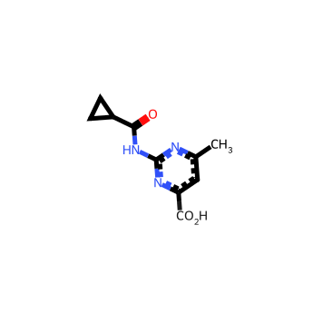 Cc1cc(C(=O)O)nc(NC(=O)C2CC2)n1